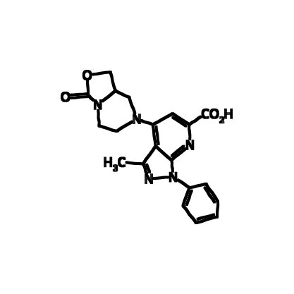 Cc1nn(-c2ccccc2)c2nc(C(=O)O)cc(N3CCN4C(=O)OCC4C3)c12